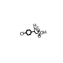 NC(CS(=O)(=O)O)c1ccc(Cl)cc1